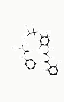 CN(C)C(=O)Nc1ccccc1.O=C(NC(=O)c1c(F)cccc1F)Nc1cc(Cl)c(OC(F)(F)C(F)C(F)(F)F)cc1Cl